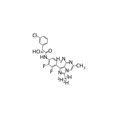 [2H]C([2H])([2H])c1nc(-c2ccc(NC(=O)[C@H](O)c3cccc(Cl)c3)c(F)c2F)c2c(N)nc(C)cn12